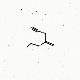 C=C(CC#N)OCC